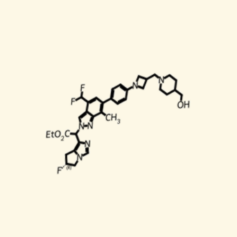 CCOC(=O)C(c1ncn2c1C[C@@H](F)C2)n1cc2c(C(F)F)cc(-c3ccc(N4CC(CN5CCC(CO)CC5)C4)cc3)c(C)c2n1